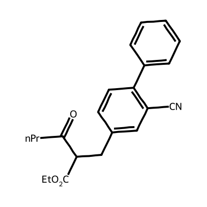 CCCC(=O)C(Cc1ccc(-c2ccccc2)c(C#N)c1)C(=O)OCC